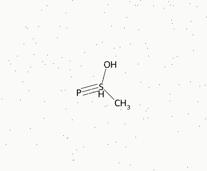 C[SH](O)#P